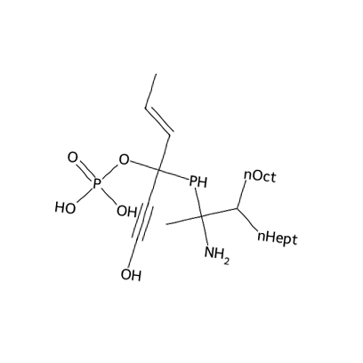 CC=CC(C#CO)(OP(=O)(O)O)PC(C)(N)C(CCCCCCC)CCCCCCCC